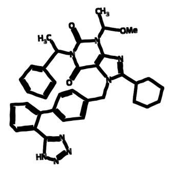 COC(C)n1c(=O)n(C(C)c2ccccc2)c(=O)c2c1nc(C1CCCCC1)n2Cc1ccc(-c2ccccc2-c2nnn[nH]2)cc1